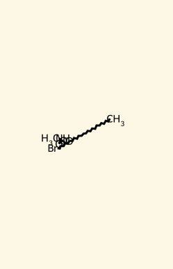 CCCCCCCCCCCCCCCCCCOCC(C[CH]CBr)OC(=O)NC